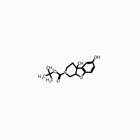 CC(C)(C)OC(=O)N1CCC2(C)c3cc(O)ccc3OC2C1